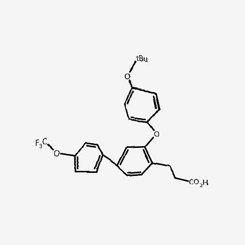 CC(C)(C)Oc1ccc(Oc2cc(-c3ccc(OC(F)(F)F)cc3)ccc2CCC(=O)O)cc1